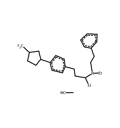 CC#N.CCC(CCc1ccc(C2CCC(C(F)(F)F)C2)cc1)N(CC)CCc1ccccc1